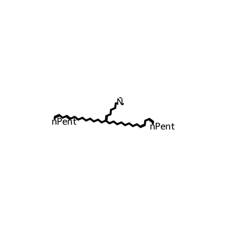 CCCCC/C=C\CC=CCCCCCCCCC(=CCCCCN(C)C)CCCCCCCC/C=C\C/C=C\CCCCC